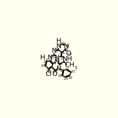 CC(Nc1nc(N)nc2[nH]cnc(=O)c12)c1nc2cccc(Cl)c2c(=O)n1-c1ccccc1